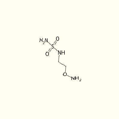 NOCCNS(N)(=O)=O